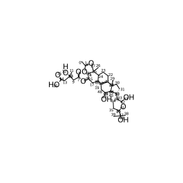 CC(=O)O[C@H]1[C@H](OC(=O)C[C@@](C)(O)CC(=O)O)C[C@]2(C)C3=C(CCC2C1(C)C)[C@]1(C)CC[C@H]([C@H]2CC[C@H](C(C)(C)O)OC2O)[C@@]1(C)[C@@H](O)C3